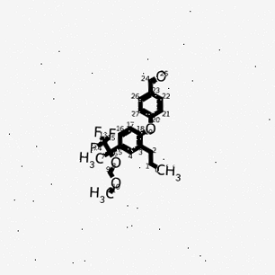 CCCc1cc(C(C)(OCOC)C(F)(F)F)ccc1Oc1ccc(C=O)cc1